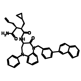 C=CC[C@H](C(N)=O)[C@@H](CC1CC1)C(=O)NC1CN(c2ccccc2)c2ccccc2N(Cc2cccc(-c3ccc4ccccc4c3)c2)C1=O